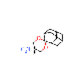 CC1(N)COC2(OC1)C1CC3CC(C1)CC2C3